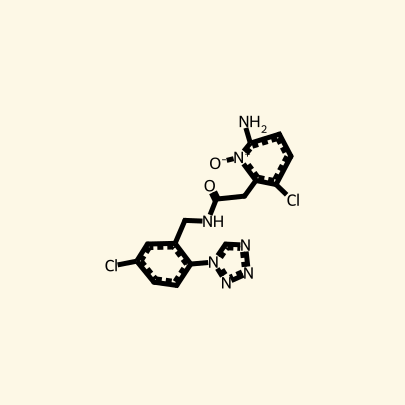 Nc1ccc(Cl)c(CC(=O)NCc2cc(Cl)ccc2-n2cnnn2)[n+]1[O-]